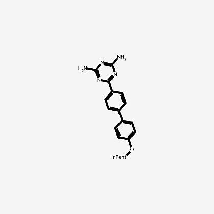 CCCCCOc1ccc(-c2ccc(-c3nc(N)nc(N)n3)cc2)cc1